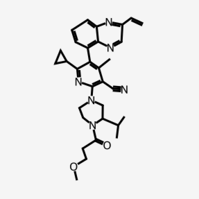 C=Cc1cnc2c(-c3c(C4CC4)nc(N4CCN(C(=O)CCOC)C(C(C)C)C4)c(C#N)c3C)cccc2n1